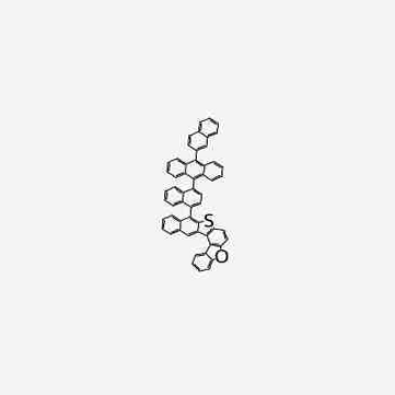 c1ccc2cc(-c3c4ccccc4c(-c4ccc(-c5c6ccccc6cc6c5sc5ccc7oc8ccccc8c7c56)c5ccccc45)c4ccccc34)ccc2c1